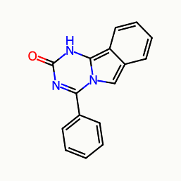 O=c1nc(-c2ccccc2)n2cc3ccccc3c2[nH]1